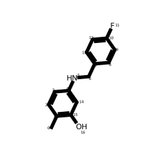 Cc1ccc(NCc2ccc(F)cc2)cc1O